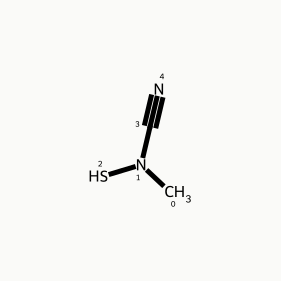 CN(S)C#N